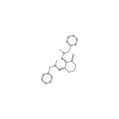 CN(Cc1ccccc1)N=C1CCCC(=O)C1=NN(C)Cc1ccccc1